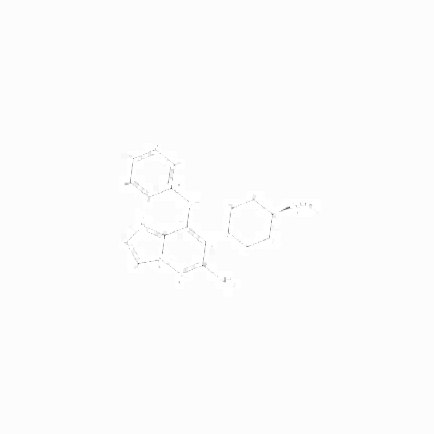 CN[C@H]1CC[C@H](c2c(N)nn3ccnc3c2Nc2ccccc2)CC1